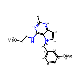 COCCNc1nc(C)nc2ccn(Cc3cccc(OC)c3)c12